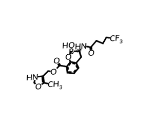 CC1=C(COC(=O)c2cccc3c2OB(O)[C@@H](NC(=O)CCCC(F)(F)F)C3)NCO1